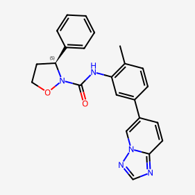 Cc1ccc(-c2ccc3ncnn3c2)cc1NC(=O)N1OCC[C@H]1c1ccccc1